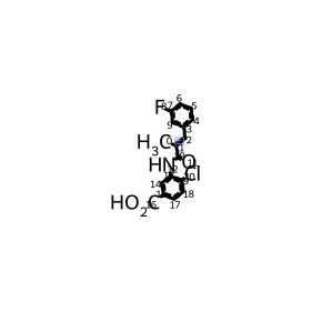 C/C(=C\c1cccc(F)c1)C(=O)Nc1cc(C(=O)O)ccc1Cl